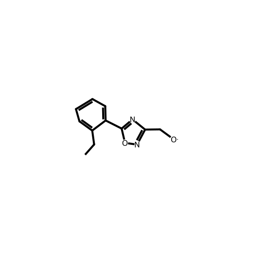 CCc1ccccc1-c1nc(C[O])no1